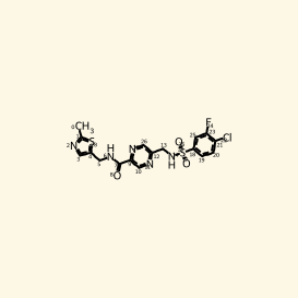 Cc1ncc(CNC(=O)c2cnc(CNS(=O)(=O)c3ccc(Cl)c(F)c3)cn2)s1